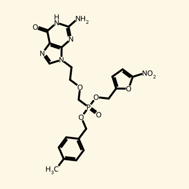 Cc1ccc(COP(=O)(COCCn2cnc3c(=O)[nH]c(N)nc32)OCc2ccc([N+](=O)[O-])o2)cc1